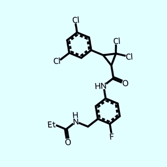 CCC(=O)NCc1cc(NC(=O)C2C(c3cc(Cl)cc(Cl)c3)C2(Cl)Cl)ccc1F